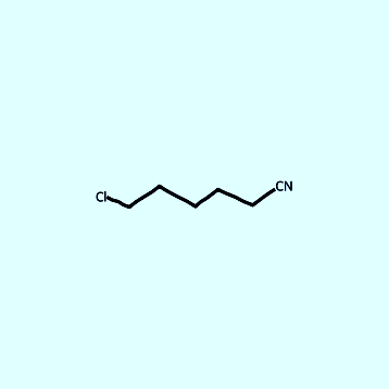 N#CCCCCCCl